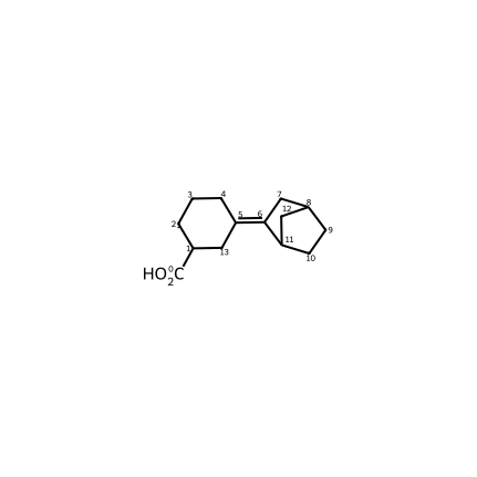 O=C(O)C1[CH]CCC(=C2CC3CCC2C3)C1